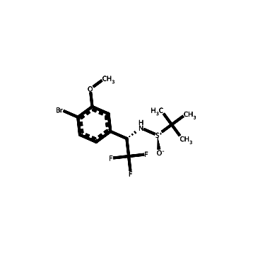 COc1cc([C@H](N[S@+]([O-])C(C)(C)C)C(F)(F)F)ccc1Br